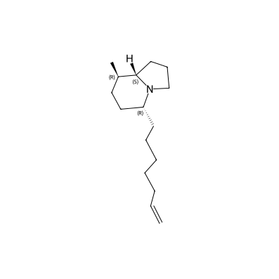 C=CCCCCC[C@@H]1CC[C@@H](C)[C@@H]2CCCN12